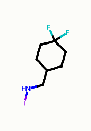 FC1(F)CCC(CNI)CC1